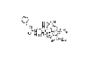 Cc1cc(C)c(S(=O)(=O)NC(CNC(=O)OCc2ccccc2)C(=O)OCC(NC(=O)OC(C)(C)C)C(C)C)c(C)c1